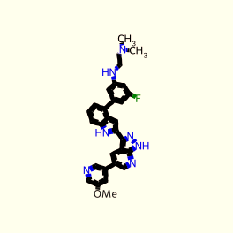 COc1cncc(-c2cnc3[nH]nc(-c4cc5c(-c6cc(F)cc(NCCN(C)C)c6)cccc5[nH]4)c3c2)c1